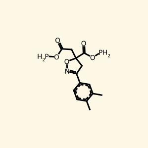 Cc1ccc(C2=NOC(CC(=O)OP)(C(=O)OP)C2)cc1C